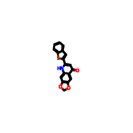 O=c1cc(-c2cc3ccccc3s2)[nH]c2cc3c(cc12)OCO3